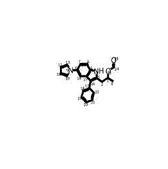 CC(Cc1[nH]c2ccc(-n3cccc3)cc2c1-c1ccccc1)OC=O